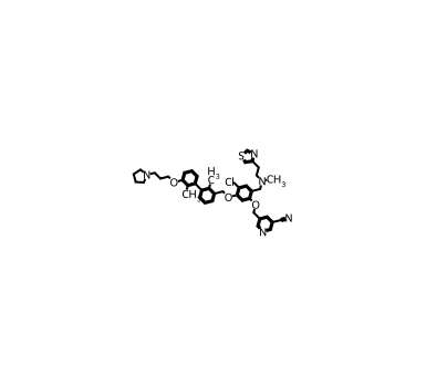 Cc1c(COc2cc(OCc3cncc(C#N)c3)c(CN(C)CCc3cscn3)cc2Cl)cccc1-c1cccc(OCCCN2CCCC2)c1C